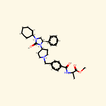 COC(=O)C(C)NC(=O)c1ccc(CN2CCC(N3C(=O)N(C4CCCCC4)C[C@H]3c3ccccc3)CC2)cc1